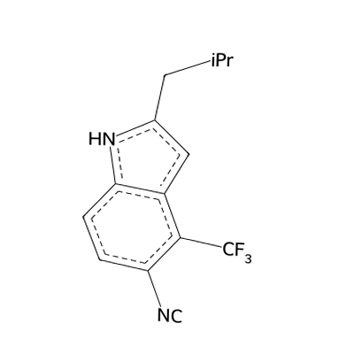 [C-]#[N+]c1ccc2[nH]c(CC(C)C)cc2c1C(F)(F)F